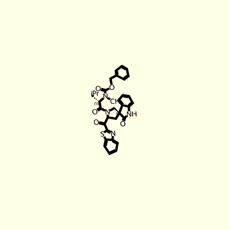 CC(C)C[C@@H](C(=O)N1C[C@]2(CC1C(=O)c1nc3ccccc3s1)C(=O)Nc1ccccc12)N(C)C(=O)OCc1ccccc1